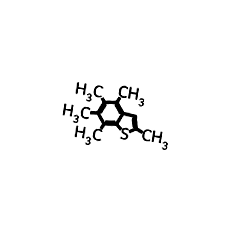 Cc1cc2c(C)c(C)c(C)c(C)c2s1